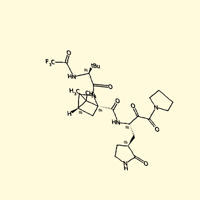 CC(C)(C)[C@H](NC(=O)C(F)(F)F)C(=O)N1C[C@H]2C[C@@]1(C(=O)N[C@@H](C[C@@H]1CCNC1=O)C(=O)C(=O)N1CCCC1)C2(C)C